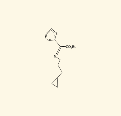 CCOC(=O)/C(=N\CCCC1CC1)c1cccs1